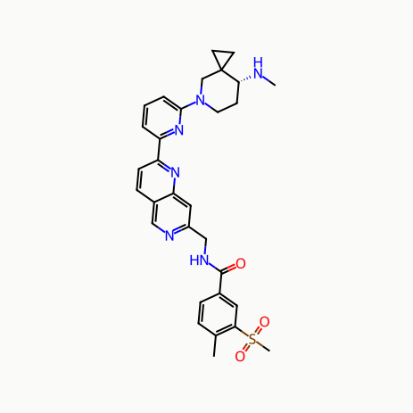 CN[C@@H]1CCN(c2cccc(-c3ccc4cnc(CNC(=O)c5ccc(C)c(S(C)(=O)=O)c5)cc4n3)n2)CC12CC2